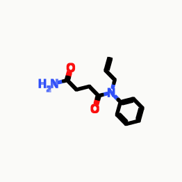 C=CCN(C(=O)CCC(N)=O)c1ccccc1